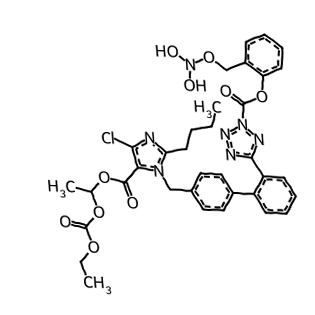 CCCCc1nc(Cl)c(C(=O)OC(C)OC(=O)OCC)n1Cc1ccc(-c2ccccc2-c2nnn(C(=O)Oc3ccccc3CON(O)O)n2)cc1